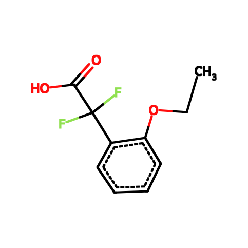 CCOc1ccccc1C(F)(F)C(=O)O